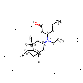 CCCC(CC=O)N(CC)[C@@H]1C[C@H]2C[C@H]3C[C@@H](C1)C32